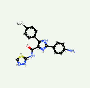 COc1ccc(-c2[nH]c(-c3ccc(N)cc3)nc2C(=O)Nc2nncs2)cc1